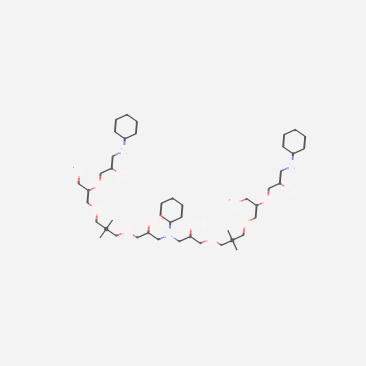 CCOCC(COCC(C)(C)COCC(O)CN(CC(O)COCC(C)(C)COCC(COCC)OCC(O)CNC1CCCCC1)C1CCCCC1)OCC(O)CNC1CCCCC1